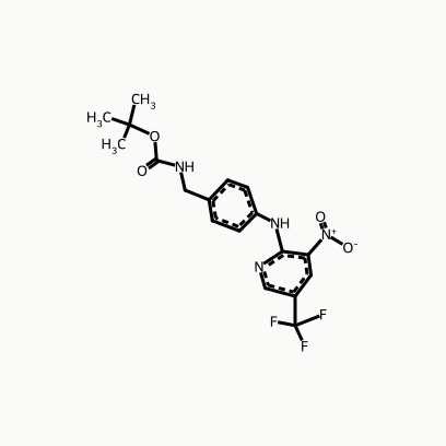 CC(C)(C)OC(=O)NCc1ccc(Nc2ncc(C(F)(F)F)cc2[N+](=O)[O-])cc1